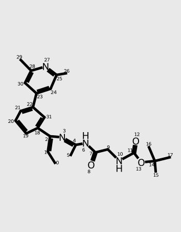 C/C=C(\N=C(/C)NC(=O)CNC(=O)OC(C)(C)C)c1cccc(-c2cc(C)nc(C)c2)c1